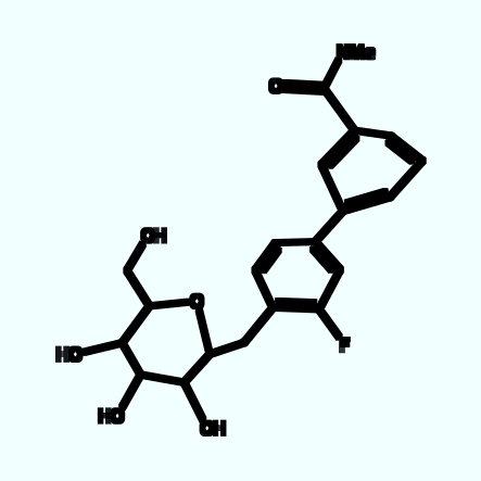 CNC(=O)c1cccc(-c2ccc(CC3OC(CO)C(O)C(O)C3O)c(F)c2)c1